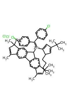 CCCCC1C=C(C(C)(C)C)C=[C]1[Zr+2](=[C](c1ccc(Cl)cc1)c1ccc(Cl)cc1)[CH]1c2cc3c(cc2-c2cc4c(cc21)C(C)(C)C=C4C)C(C)=CC3(C)C.[Cl-].[Cl-]